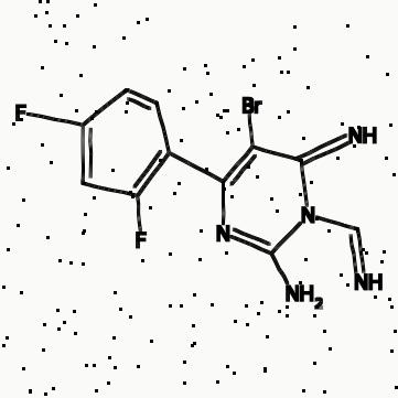 N=Cn1c(N)nc(-c2ccc(F)cc2F)c(Br)c1=N